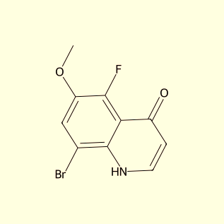 COc1cc(Br)c2[nH]ccc(=O)c2c1F